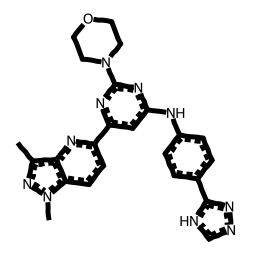 Cc1nn(C)c2ccc(-c3cc(Nc4ccc(-c5nnc[nH]5)cc4)nc(N4CCOCC4)n3)nc12